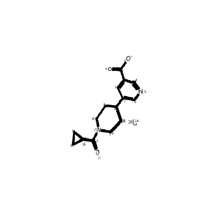 O=C([O-])c1cncc(C2CCN(C(=O)C3CC3)CC2)c1.[Li+]